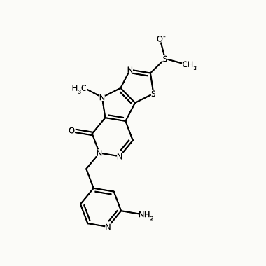 Cn1c2nc([S+](C)[O-])sc2c2cnn(Cc3ccnc(N)c3)c(=O)c21